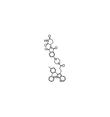 Cc1ccc(-c2[nH]c3ncccc3c2CCC(=O)N2CCN(c3ccc4c(c3)C(=O)N(C3CCC(=O)NC3=O)C4=O)CC2)c(-c2ccccc2)c1